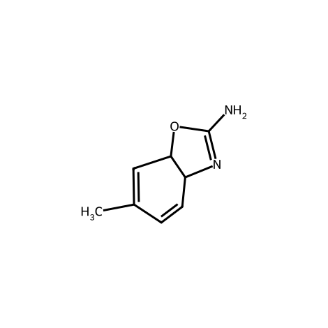 CC1=CC2OC(N)=NC2C=C1